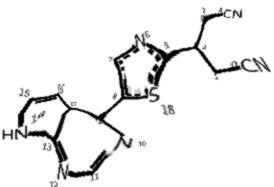 N#CCC(CC#N)c1ncc(C2N=CN=C3NC=CC32)s1